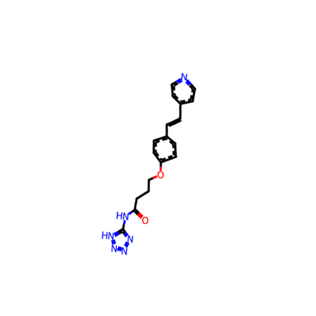 O=C(CCCOc1ccc(C=Cc2ccncc2)cc1)Nc1nnn[nH]1